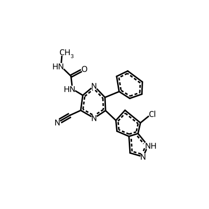 CNC(=O)Nc1nc(-c2ccccc2)c(-c2cc(Cl)c3[nH]ncc3c2)nc1C#N